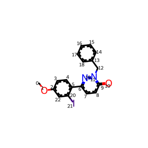 COc1ccc(-c2ccc(=O)n(Cc3ccccc3)n2)c(I)c1